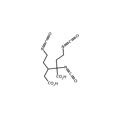 O=C=NCCC(CC(=O)O)C(CCN=C=O)(N=C=O)C(=O)O